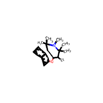 CCC1C(O)CC(C)(C)N(C)C1(C)C.c1cc2ccc1-2